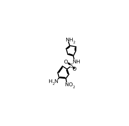 Nc1ccc(NS(=O)(=O)c2ccc(N)c([N+](=O)[O-])c2)cc1